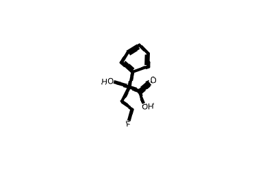 O=C(O)C(O)(CCF)c1ccccc1